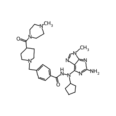 CN1CCN(C(=O)C2CCN(Cc3ccc(C(=O)NN(c4nc(N)nc5c4ncn5C)C4CCCC4)cc3)CC2)CC1